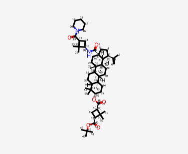 C=C(C)[C@@H]1CC[C@]2(C(=O)N[C@@H]3CC(C(=O)N4CCCCC4)C3(C)C)CC[C@]3(C)[C@H](CC[C@@H]4[C@@]5(C)CC[C@H](OC(=O)[C@@H]6C[C@H](C(=O)OC(C)(C)C)C6(C)C)C(C)(C)[C@@H]5CC[C@]43C)[C@@H]12